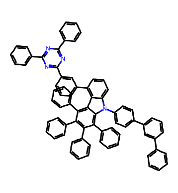 c1ccc(-c2cccc(-c3ccc(-n4c5cccc(-c6cccc(-c7nc(-c8ccccc8)nc(-c8ccccc8)n7)c6)c5c5c(-c6ccccc6)c(-c6ccccc6)c(-c6ccccc6)c(-c6ccccc6)c54)cc3)c2)cc1